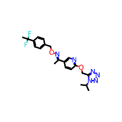 C/C(=N\OCc1ccc(C(C)(F)F)cc1)c1ccc(OCc2nnnn2C(C)C)nc1